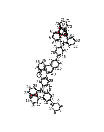 Fc1cc(-c2ccccc2)cc(-c2ccccc2)c1N(c1ccccc1)c1ccc2c(c1)Oc1cccc3c1c-2cc1ccc(-c2ccc(N(c4ccccc4-c4ccccc4)c4cccc5c4oc4ccccc45)cc2)cc13